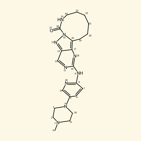 CN1CCN(c2ccc(Nc3ncc4nn5c(c4n3)CCCCCCNC5=O)nc2)CC1